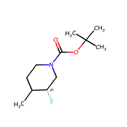 CC1CCN(C(=O)OC(C)(C)C)C[C@@H]1F